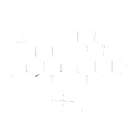 COC(=O)C[C@H](NC(=O)CNC(=O)c1cc(NC2=NCC(F)CN2)c2cn[nH]c2c1)c1cccc(C2CC2)c1.O=C(O)C(F)(F)F